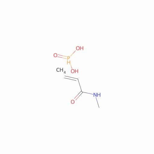 C.C=CC(=O)NC.O=[PH](O)O